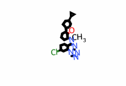 CN(c1nc2nncn2c2cc(Cl)ccc12)c1cccc2c1oc1cc(C3CC3)ccc12